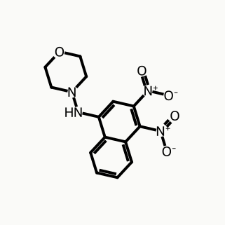 O=[N+]([O-])c1cc(NN2CCOCC2)c2ccccc2c1[N+](=O)[O-]